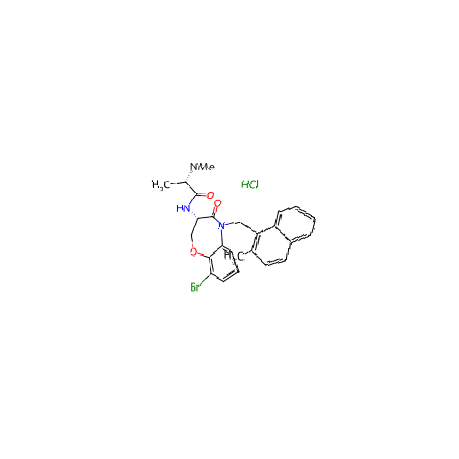 CN[C@@H](C)C(=O)N[C@H]1COc2c(Br)cccc2N(Cc2c(C)ccc3ccccc23)C1=O.Cl